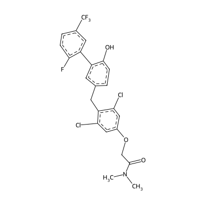 CN(C)C(=O)COc1cc(Cl)c(Cc2ccc(O)c(-c3cc(C(F)(F)F)ccc3F)c2)c(Cl)c1